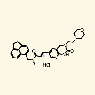 CN(Cc1ccc2c3c(cccc13)CC2)C(=O)/C=C/c1cnc2c(c1)CN(CCN1CCOCC1)C(=O)N2.Cl